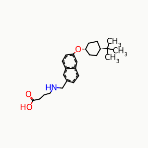 CC(C)(C)[C@H]1CC[C@H](Oc2ccc3cc(CNCCCC(=O)O)ccc3c2)CC1